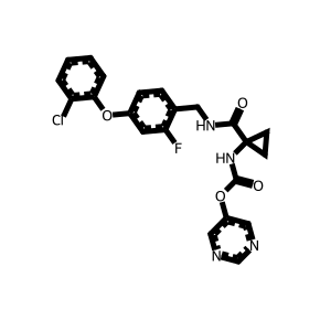 O=C(NC1(C(=O)NCc2ccc(Oc3ccccc3Cl)cc2F)CC1)Oc1cncnc1